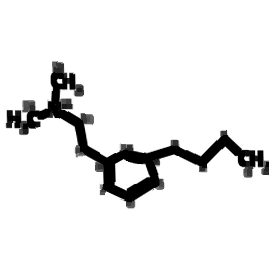 CCCCc1cccc(CCN(C)C)c1